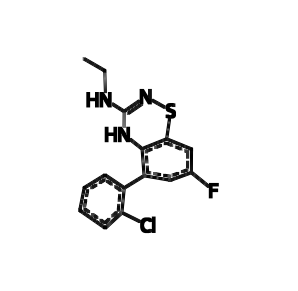 CCNC1=NSc2cc(F)cc(-c3ccccc3Cl)c2N1